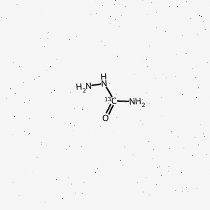 NN[13C](N)=O